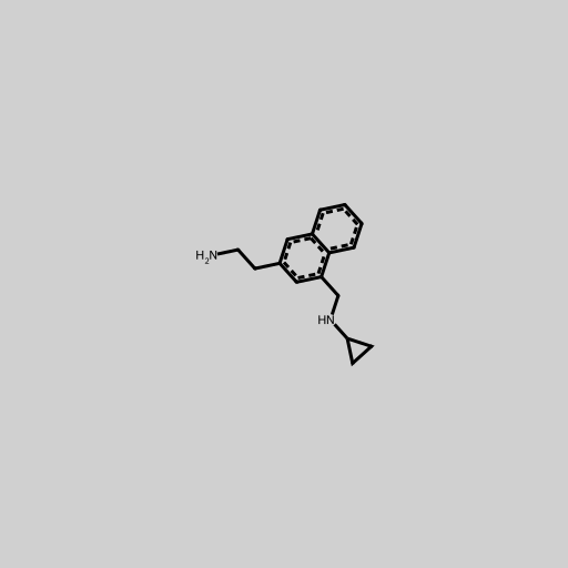 NCCc1cc(CNC2CC2)c2ccccc2c1